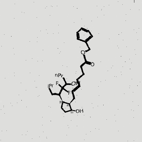 CCCC(O)C(F)(F)C(CC(C)C)[C@@H]1CC[C@H](O)[C@@H]1CC=CCCCC(=O)OCc1ccccc1